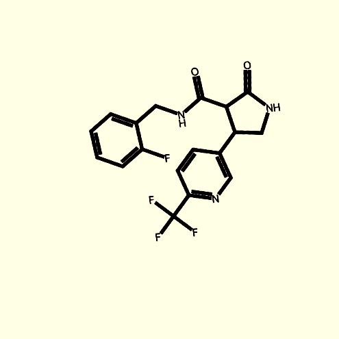 O=C(NCc1ccccc1F)C1C(=O)NCC1c1ccc(C(F)(F)F)nc1